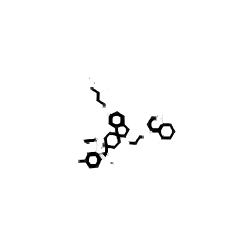 COC(=O)C1(N(C(=O)C(F)(F)F)c2cccc(Cl)c2)CCC2(CC1)c1cc(OCCCCN)ccc1C[C@@H]2C[C@@H](C)COc1ccnc2c1[C@H](C)CCC2